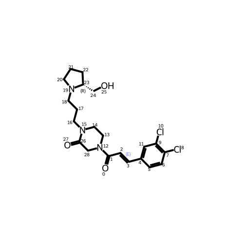 O=C(/C=C/c1ccc(Cl)c(Cl)c1)N1CCN(CCCN2CCC[C@@H]2CO)C(=O)C1